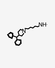 [NH]CCCCCCN1CCC(C(c2ccccc2)c2ccccc2)CC1